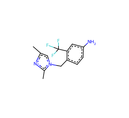 Cc1cn(Cc2ccc(N)cc2C(F)(F)F)c(C)n1